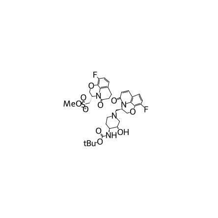 CC(C)(C)OC(=O)N[C@H]1CCN(C[C@@H]2COc3c(F)ccc4ccc(=O)n2c34)C[C@H]1O.COS(=O)(=O)C[C@@H]1COc2c(F)ccc3c2N1C(=O)CC3